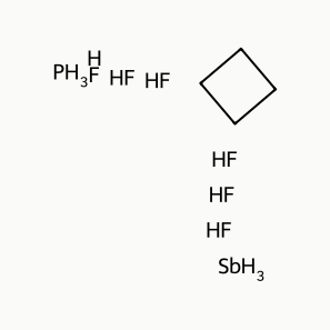 C1CCC1.F.F.F.F.F.F.P.[SbH3]